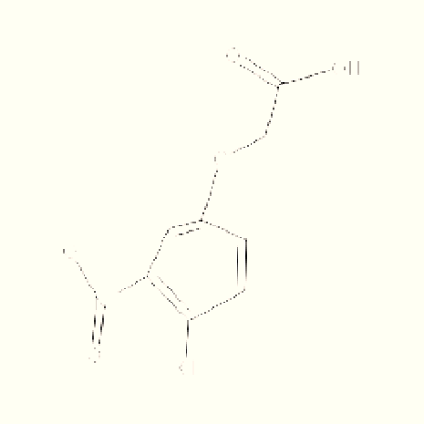 O=C(O)COc1ccc(Cl)c([N+](=O)[O-])c1